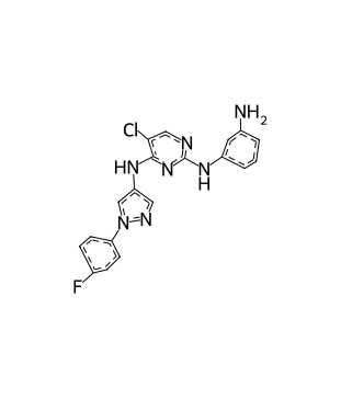 Nc1cccc(Nc2ncc(Cl)c(Nc3cnn(-c4ccc(F)cc4)c3)n2)c1